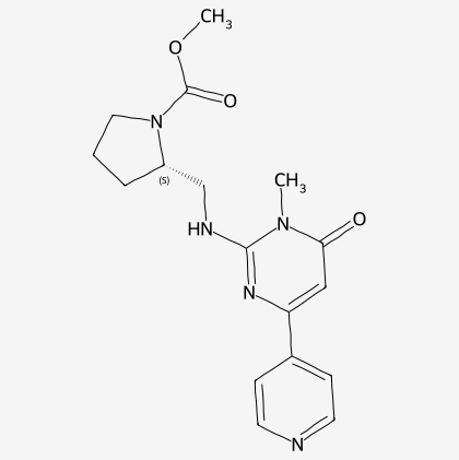 COC(=O)N1CCC[C@H]1CNc1nc(-c2ccncc2)cc(=O)n1C